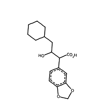 O=C(O)C(c1ccc2c(c1)OCO2)C(O)CC1CCCCC1